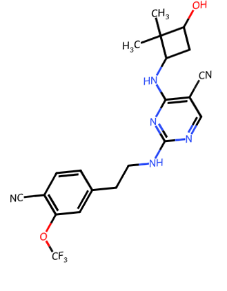 CC1(C)C(O)CC1Nc1nc(NCCc2ccc(C#N)c(OC(F)(F)F)c2)ncc1C#N